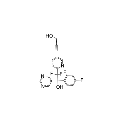 OCC#Cc1ccc(C(F)(F)C(O)(c2cncnc2)c2ccc(F)cc2F)nc1